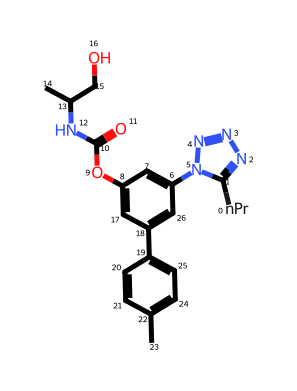 CCCc1nnnn1-c1cc(OC(=O)NC(C)CO)cc(-c2ccc(C)cc2)c1